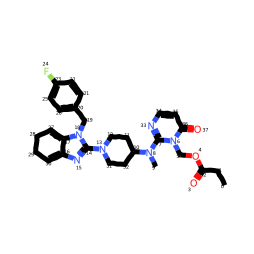 CCC(=O)OCn1c(N(C)C2CCN(c3nc4c(n3Cc3ccc(F)cc3)=CCCC=4)CC2)nccc1=O